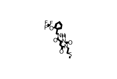 CSCCn1c(=O)cc(C(=O)NCc2ccccc2OC(F)(F)F)[nH]c1=O